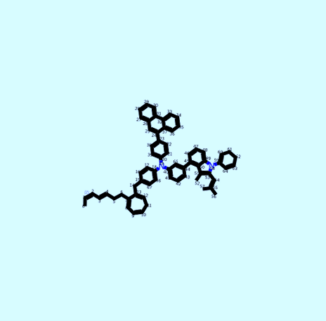 C/C=C\C=CCCC1=CC=CCC=C1Cc1ccc(N(c2ccc(-c3cc4ccccc4c4ccccc34)cc2)c2cccc(-c3cccc4c3c(C)c(C=C(C)C)n4C3=CCCC=C3)c2)cc1